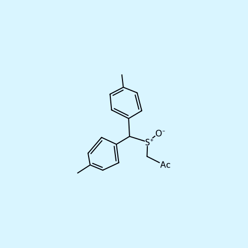 CC(=O)C[S+]([O-])C(c1ccc(C)cc1)c1ccc(C)cc1